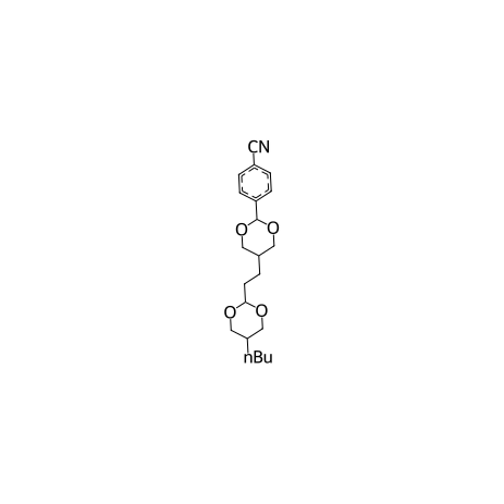 CCCCC1COC(CCC2COC(c3ccc(C#N)cc3)OC2)OC1